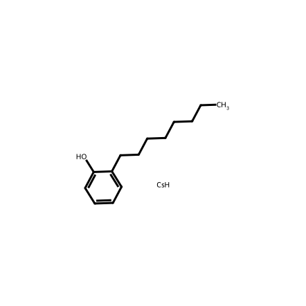 CCCCCCCCc1ccccc1O.[CsH]